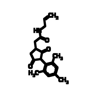 C=CCNC(=O)CC1CC(=O)C(c2c(C)cc(C)cc2C)C1=O